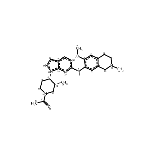 COc1cc2c(cc1Nc1ncc3cnn([C@H]4CCN(C(C)=O)C[C@H]4C)c3n1)CN(C)CC2